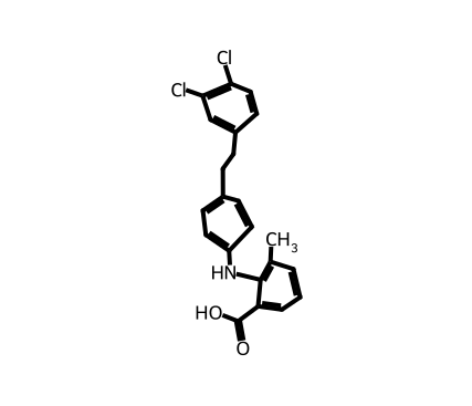 Cc1cccc(C(=O)O)c1Nc1ccc(CCc2ccc(Cl)c(Cl)c2)cc1